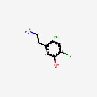 Cl.NCCc1ccc(F)c(O)c1